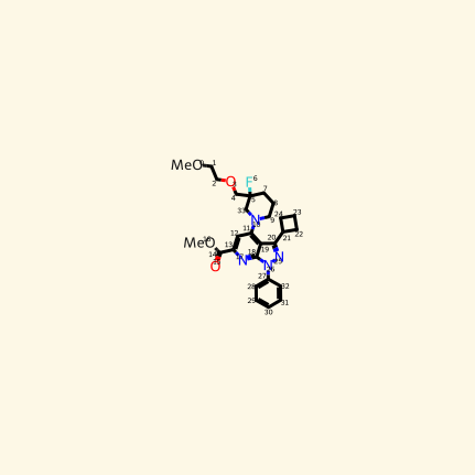 COCCOCC1(F)CCCN(c2cc(C(=O)OC)nc3c2c(C2CCC2)nn3-c2ccccc2)C1